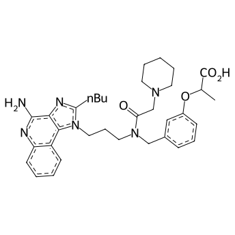 CCCCc1nc2c(N)nc3ccccc3c2n1CCCN(Cc1cccc(OC(C)C(=O)O)c1)C(=O)CN1CCCCC1